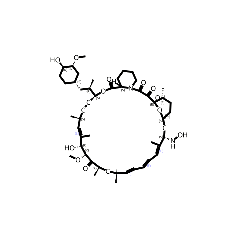 CO[C@@H]1C[C@H](C[C@@H](C)[C@@H]2CC[C@H](C)/C=C(\C)[C@@H](O)[C@@H](OC)C(=O)[C@H](C)C[C@H](C)/C=C/C=C/C=C(\C)[C@@H](NO)C[C@@H]3CC[C@@H](C)[C@@](O)(O3)C(=O)C(=O)N3CCCC[C@H]3C(=O)O2)CC[C@H]1O